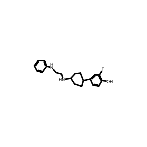 Oc1ccc(C2CCC(NCCNc3ccccc3)CC2)cc1F